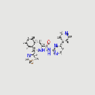 O=C(Nc1nccc(-c2ccncc2)n1)[C@H](Cc1ccccc1)NCC1CSC=N1